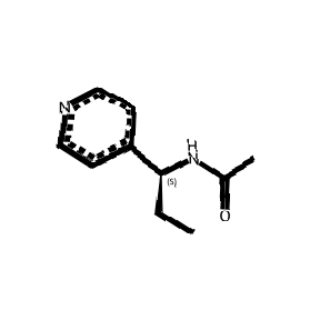 CC[C@H](NC(C)=O)c1ccncc1